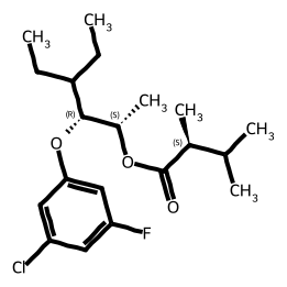 CCC(CC)[C@@H](Oc1cc(F)cc(Cl)c1)[C@H](C)OC(=O)[C@@H](C)C(C)C